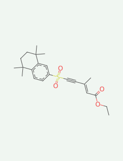 CCOC(=O)/C=C(\C)C#CS(=O)(=O)c1ccc2c(c1)C(C)(C)CCC2(C)C